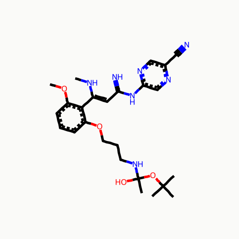 CN/C(=C\C(=N)Nc1cnc(C#N)cn1)c1c(OC)cccc1OCCCNC(C)(O)OC(C)(C)C